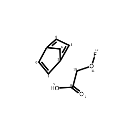 C1=CC2=CC=C1C2.O=C(O)COF